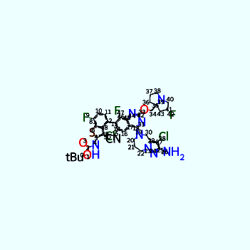 CC(C)(C)OC(=O)Nc1sc2c(F)ccc(-c3c(Cl)cc4c(N5CCCn6nc(N)c(Cl)c6C5)nc(OC[C@@]56CCCN5C[C@H](F)C6)nc4c3F)c2c1C#N